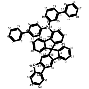 c1ccc(-c2ccc(N(c3cccc(-c4ccccc4)c3)c3cccc4c3-c3ccccc3C43c4ccccc4-c4cc5c(cc43)sc3ccccc35)cc2)cc1